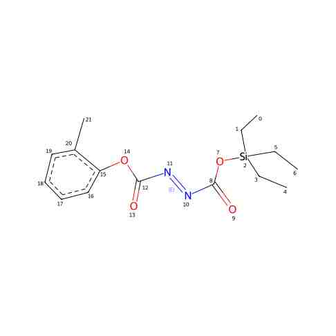 CC[Si](CC)(CC)OC(=O)/N=N/C(=O)Oc1ccccc1C